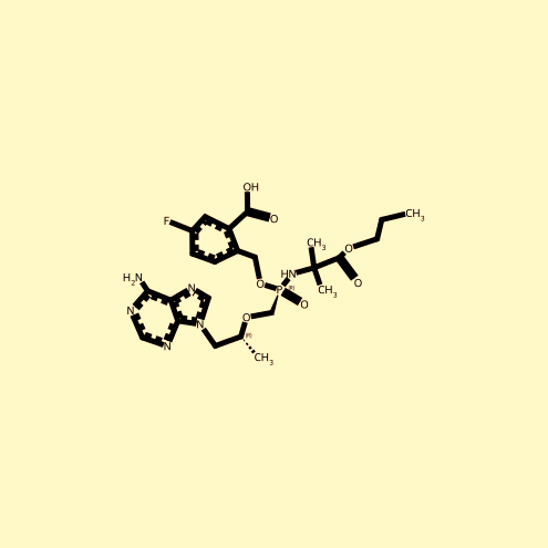 CCCOC(=O)C(C)(C)N[P@@](=O)(CO[C@H](C)Cn1cnc2c(N)ncnc21)OCc1ccc(F)cc1C(=O)O